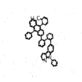 CC1C=CC=CC1c1c2ccccc2c(-c2ccccc2)c2cc(-c3ccccc3-c3ccccc3-c3ccc4c(c3)c3cccnc3n4-c3ccccc3)ccc12